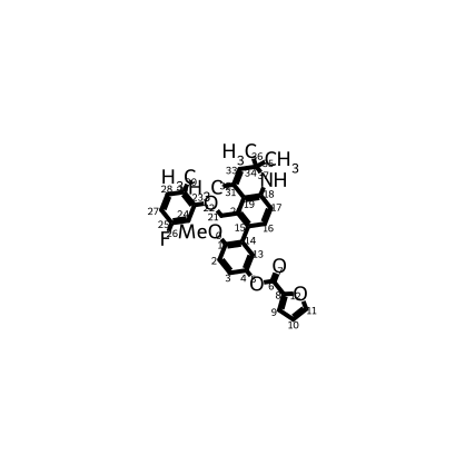 COc1ccc(OC(=O)c2ccco2)cc1-c1ccc2c(c1COc1cc(F)ccc1C)C(C)=CC(C)(C)N2